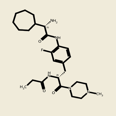 CCC(=O)N[C@H](Cc1ccc(NC(=O)[C@@H](N)C2CCCCCC2)c(F)c1)C(=O)N1CCN(C)CC1